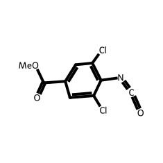 COC(=O)c1cc(Cl)c(N=C=O)c(Cl)c1